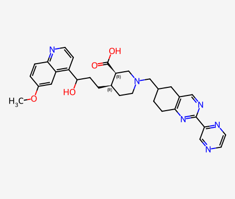 COc1ccc2nccc(C(O)CC[C@@H]3CCN(CC4CCc5nc(-c6cnccn6)ncc5C4)C[C@@H]3C(=O)O)c2c1